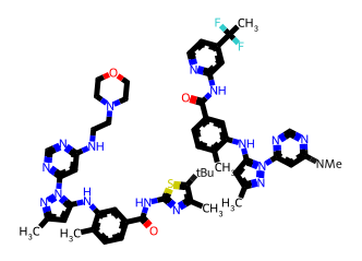 CNc1cc(-n2nc(C)cc2Nc2cc(C(=O)Nc3cc(C(C)(F)F)ccn3)ccc2C)ncn1.Cc1cc(Nc2cc(C(=O)Nc3nc(C)c(C(C)(C)C)s3)ccc2C)n(-c2cc(NCCN3CCOCC3)ncn2)n1